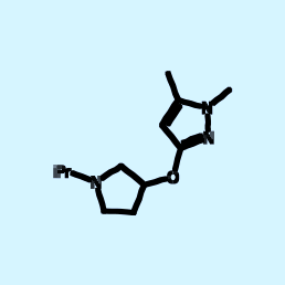 Cc1cc(OC2CCN(C(C)C)C2)nn1C